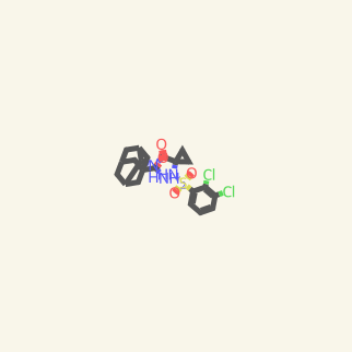 NC(=O)C12CC3CC(C1)C(NC(=O)C1(NS(=O)(=O)c4cccc(Cl)c4Cl)CC1)C(C3)C2